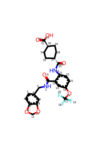 O=C(NCc1ccc2c(c1)OCO2)c1cc(OC(F)(F)F)ccc1NC(=O)[C@H]1CC[C@H](C(=O)O)CC1